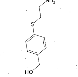 NCCSc1ccc(CO)cc1